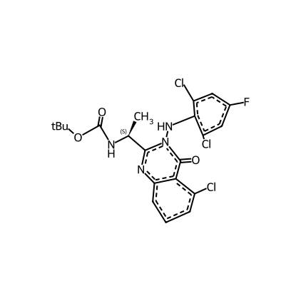 C[C@H](NC(=O)OC(C)(C)C)c1nc2cccc(Cl)c2c(=O)n1Nc1c(Cl)cc(F)cc1Cl